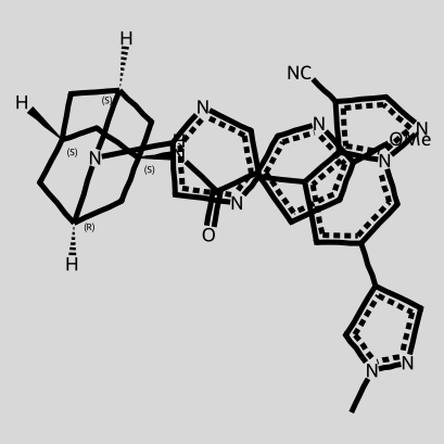 COc1ccc(C(=O)N[C@]23C[C@@H]4C[C@H](C2)N(c2cnc(-c5cc(-c6cnn(C)c6)cn6ncc(C#N)c56)cn2)[C@@H](C4)C3)cn1